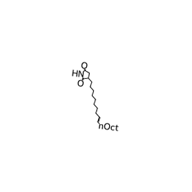 CCCCCCCCC=CCCCCCCCCC1CC(=O)NC1=O